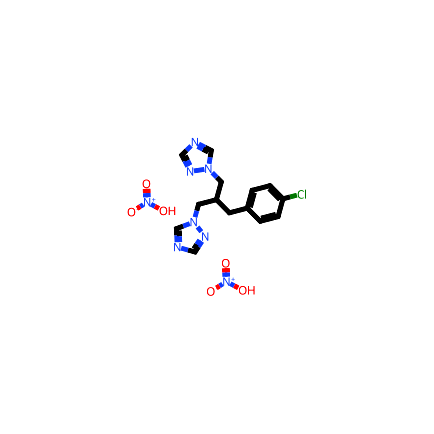 Clc1ccc(CC(Cn2cncn2)Cn2cncn2)cc1.O=[N+]([O-])O.O=[N+]([O-])O